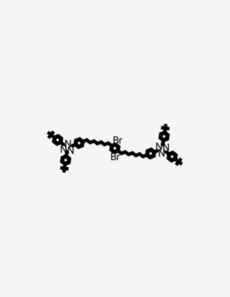 CC(C)(C)c1ccc(-c2nc(-c3ccc(CCCCCCCc4cc(Br)c(CCCCCCCc5ccc(-c6nc(-c7ccc(C(C)(C)C)cc7)nc(-c7ccc(C(C)(C)C)cc7)n6)cc5)cc4Br)cc3)nc(-c3ccc(C(C)(C)C)cc3)n2)cc1